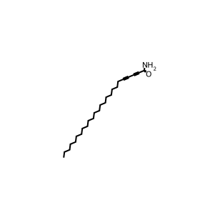 CCCCCCCCCCCCCCCCCCCCC#CC#CC(N)=O